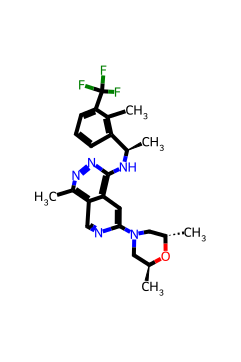 Cc1c([C@@H](C)Nc2nnc(C)c3cnc(N4C[C@H](C)O[C@@H](C)C4)cc23)cccc1C(F)(F)F